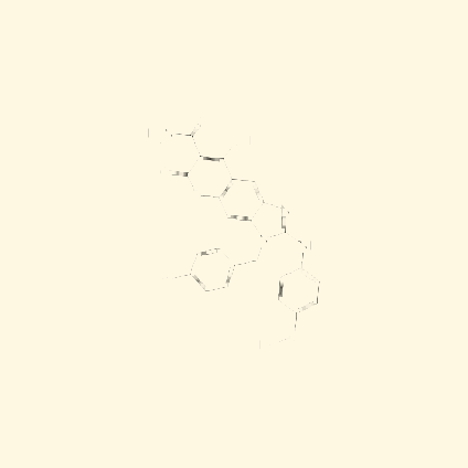 COc1ccc(Nc2nc3cc4c(C)c(C(N)=O)c(=O)oc4cc3n2Cc2ccc(Br)cc2)cc1